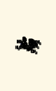 C=Cc1cnc(Nc2ccc(N3CCOCC3)c(/C(C=N)=C\NC)c2)nc1Nc1ccc2c(c1N(C)S(C)(=O)=O)OCCO2